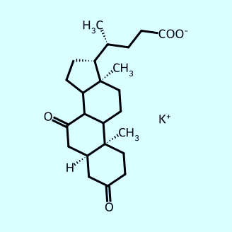 C[C@H](CCC(=O)[O-])[C@H]1CCC2C3C(=O)C[C@@H]4CC(=O)CC[C@]4(C)C3CC[C@@]21C.[K+]